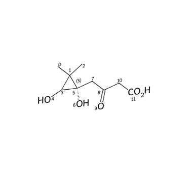 CC1(C)C(O)[C@]1(O)CC(=O)CC(=O)O